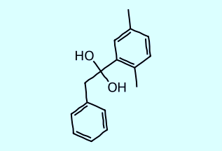 Cc1ccc(C)c(C(O)(O)Cc2ccccc2)c1